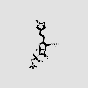 Cn1cc(/C=C/C2=C(C(=O)O)N3C(=O)[C@H](C(C)(O[SiH](C)C)C(C)(C)C)[C@H]3S2)cn1